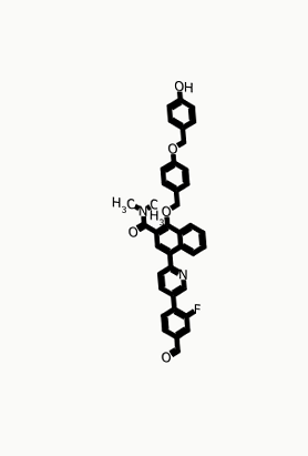 CN(C)C(=O)c1cc(-c2ccc(-c3ccc(C=O)cc3F)cn2)c2ccccc2c1OCc1ccc(OCc2ccc(O)cc2)cc1